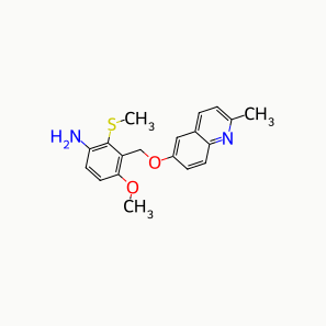 COc1ccc(N)c(SC)c1COc1ccc2nc(C)ccc2c1